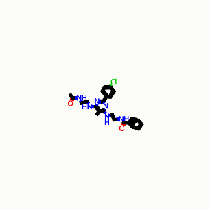 CC(=O)NCCNc1nc(-c2ccc(Cl)cc2)nc(NCCNC(=O)C2CC3C=CC2C3)c1C